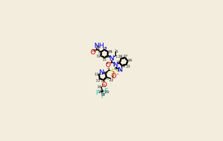 [CH2]CN(C(=O)n1c([S+]([O-])Cc2nccc(OCC(F)(F)F)c2C)nc2ccccc21)c1ccc(C(N)=O)cc1